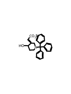 CCOC(=O)C=C1CN(C(c2ccccc2)(c2ccccc2)c2ccccc2)CCC1O